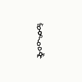 CCCC1CCC(c2ccc(OCCCC3CCC([C@H]4CC[C@H](c5cc(F)c(F)c(F)c5)CC4)CC3)cc2)CC1